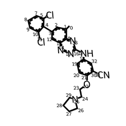 Cc1cc(-c2c(Cl)cccc2Cl)cc2nnc(Nc3ccc(OCCN4CCCC4)c(C#N)c3)nc12